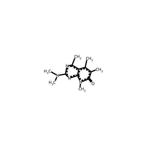 Cc1c(C)c2c(C)nc(N(C)C)nc2n(C)c1=O